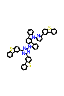 c1cc(-c2ccc3sc4ccccc4c3c2)nc(-n2c3ccccc3c3ccc4c(c5ccccc5n4-c4nc(-c5ccc6sc7ccccc7c6c5)nc(-c5ccc6sc7ccccc7c6c5)n4)c32)c1